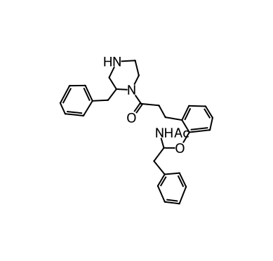 CC(=O)NC(Cc1ccccc1)Oc1ccccc1CCC(=O)N1CCNCC1Cc1ccccc1